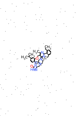 CCc1cccc(CC)c1-c1nc(C)c(COc2cc(C(C)C)ccc2C)c(N2CCN(Cc3n[nH]c(=O)[nH]3)CC2)n1